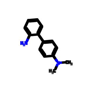 CN(C)c1ccc(-c2ccccc2N)cc1